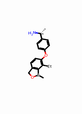 CCc1c(Oc2ccc([C@@H](C)N)cc2)ccc2c1B(C)OC2